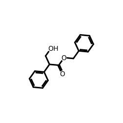 O=C(OCc1ccccc1)C(CO)c1ccccc1